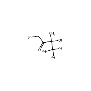 [2H]C([2H])([2H])C(C)(O)C(=O)CBr